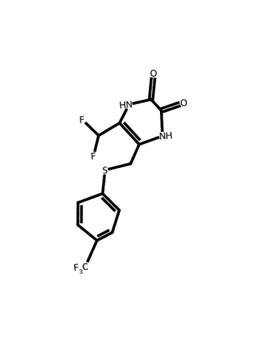 O=c1[nH]c(CSc2ccc(C(F)(F)F)cc2)c(C(F)F)[nH]c1=O